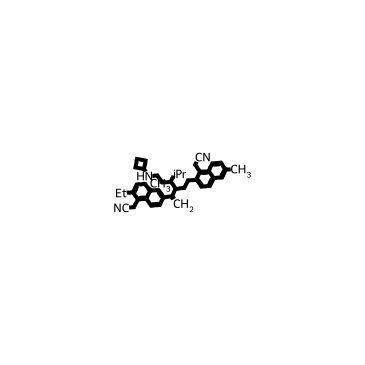 C=C(C1=CC2(C)CC=C(CC)C(CC#N)=C2C=C1)C(CCc1ccc2cc(C)ccc2c1CC#N)C(CCNC1CCC1)C(C)C